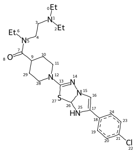 CCN(CC)CCN(CC)C(=O)C1CCN(C2=NN3C=C(c4ccc(Cl)cc4)NC3S2)CC1